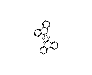 O=P1(OP2Oc3ccccc3-c3ccccc32)Oc2ccccc2-c2ccccc21